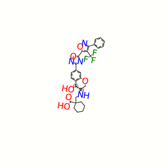 O=C(O)C1(CN[C@@H]2COc3cc(-c4noc(-c5onc(-c6ccccc6)c5C(F)(F)F)n4)ccc3[C@@H]2O)CCCCC1